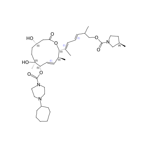 C/C(=C\C=C\C(C)COC(=O)N1CC[C@@H](C)C1)[C@H]1OC(=O)C[C@@H](O)CC[C@](C)(O)[C@@H](OC(=O)N2CCN(C3CCCCCC3)CC2)/C=C/[C@@H]1C